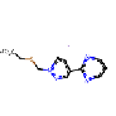 CCOC(=O)CSC[n+]1ccc(-c2ncccn2)cn1.[I-]